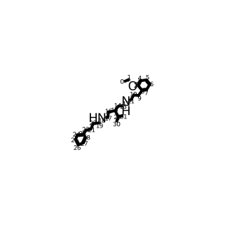 CCOc1ccccc1CCCNCCC(CCNCCCCc1ccccc1)[C](C)C